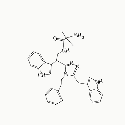 CC(C)(N)C(=O)NCC(c1c[nH]c2ccccc12)c1nnc(Cc2c[nH]c3ccccc23)n1CCc1ccccc1